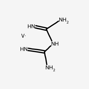 N=C(N)NC(=N)N.[V]